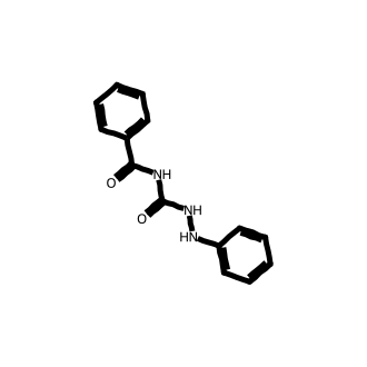 O=C(NNc1ccccc1)NC(=O)c1ccccc1